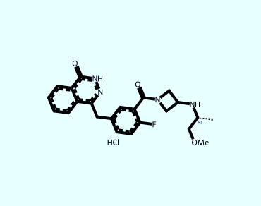 COC[C@@H](C)NC1CN(C(=O)c2cc(Cc3n[nH]c(=O)c4ccccc34)ccc2F)C1.Cl